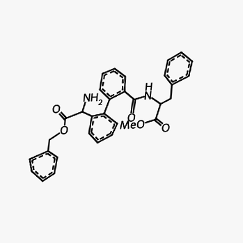 COC(=O)C(Cc1ccccc1)NC(=O)c1ccccc1-c1ccccc1C(N)C(=O)OCc1ccccc1